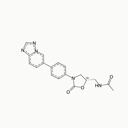 CC(=O)NC[C@H]1CN(c2ccc(-c3ccc4ncnn4c3)cc2)C(=O)O1